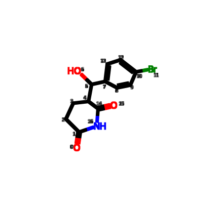 O=C1CCC(C(O)c2ccc(Br)cc2)C(=O)N1